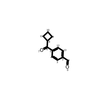 O=Cc1ccc(C(=O)C2CCC2)cc1